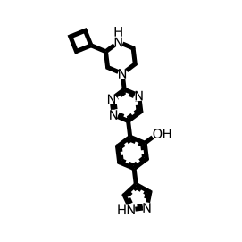 Oc1cc(-c2cn[nH]c2)ccc1-c1cnc(N2CCNC(C3CCC3)C2)nn1